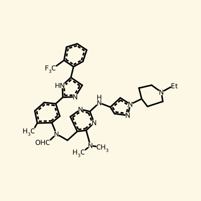 CCN1CCC(n2cc(Nc3ncc(CN(C=O)c4cc(-c5ncc(-c6ccccc6C(F)(F)F)[nH]5)ccc4C)c(N(C)C)n3)cn2)CC1